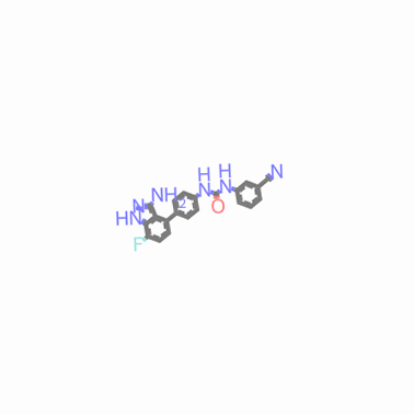 N#Cc1cccc(NC(=O)Nc2ccc(-c3ccc(F)c4[nH]nc(N)c34)cc2)c1